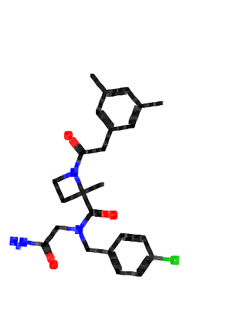 Cc1cc(C)cc(CC(=O)N2CCC2(C)C(=O)N(CC(N)=O)Cc2ccc(Cl)cc2)c1